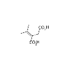 CC(C)=C(CC(=O)O)C(=O)O